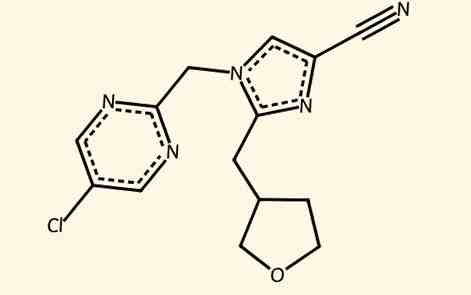 N#Cc1cn(Cc2ncc(Cl)cn2)c(CC2CCOC2)n1